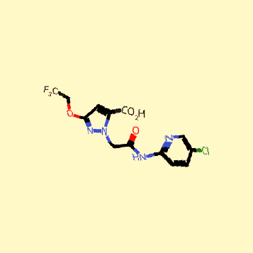 O=C(Cn1nc(OCC(F)(F)F)cc1C(=O)O)Nc1ccc(Cl)cn1